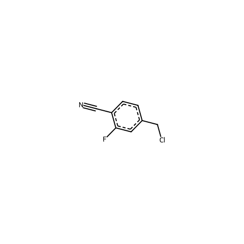 N#Cc1ccc(CCl)cc1F